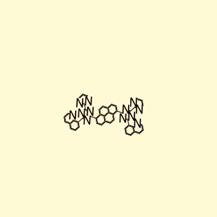 c1cnc(-c2nc(-c3ccc4ccc5c(-c6nc(-c7ncccn7)nc(-c7cccc8cccnc78)n6)ccc6ccc3c4c65)nc(-c3cccc4cccnc34)n2)nc1